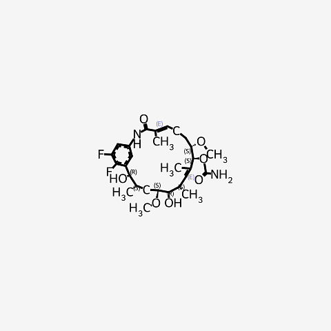 CO[C@H]1C[C@H](C)[C@@H](O)c2cc(cc(F)c2F)NC(=O)/C(C)=C/CC[C@H](OC)[C@@H](OC(N)=O)/C(C)=C/[C@H](C)[C@H]1O